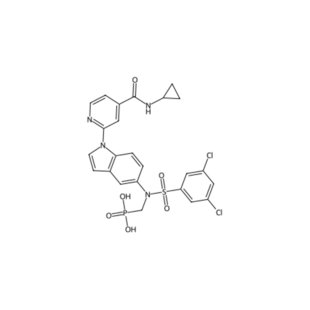 O=C(NC1CC1)c1ccnc(-n2ccc3cc(N(CP(=O)(O)O)S(=O)(=O)c4cc(Cl)cc(Cl)c4)ccc32)c1